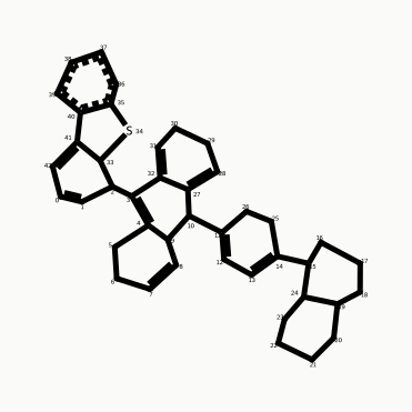 C1=CC(C2=C3CCC=CC3C(C3=CC=C(C4CCCC5CCCCC54)CC3)C3=CCCC=C32)C2Sc3ccccc3C2=C1